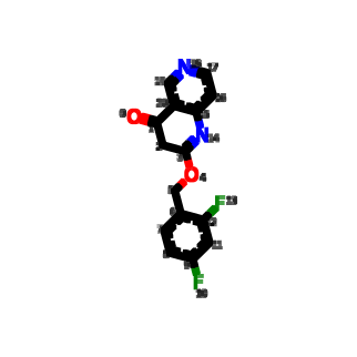 O=C1CC(OCc2ccc(F)cc2F)=Nc2ccncc21